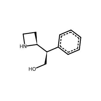 OC[C@H](c1ccccc1)[C@@H]1CCN1